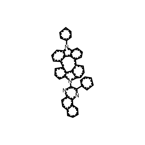 c1ccc(-c2nc3c(ccc4ccccc43)nc2-n2c3cccc4c5cccc6c5c5c(cccc5n6-c5ccccc5)c5cccc2c5c43)cc1